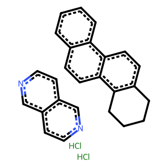 Cl.Cl.c1cc2cnccc2cn1.c1ccc2c(c1)ccc1c3c(ccc12)CCCC3